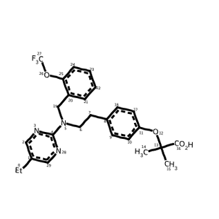 CCc1cnc(N(CCc2ccc(OC(C)(C)C(=O)O)cc2)Cc2ccccc2OC(F)(F)F)nc1